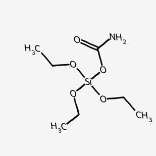 CCO[Si](OCC)(OCC)OC(N)=O